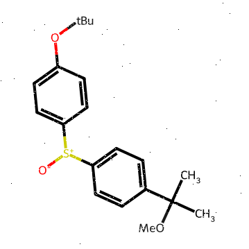 COC(C)(C)c1ccc([S+]([O-])c2ccc(OC(C)(C)C)cc2)cc1